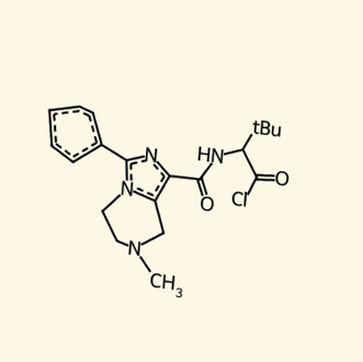 CN1CCn2c(-c3ccccc3)nc(C(=O)NC(C(=O)Cl)C(C)(C)C)c2C1